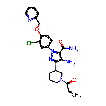 C=CC(=O)N1CCCC(c2nn(-c3ccc(OCc4ccccn4)c(Cl)c3)c(C(N)=O)c2N)C1